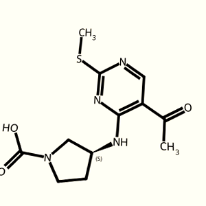 CSc1ncc(C(C)=O)c(N[C@H]2CCN(C(=O)O)C2)n1